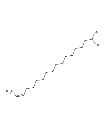 CCCC(O)CCCCCCCCCCCCC/C=C\C(=O)O